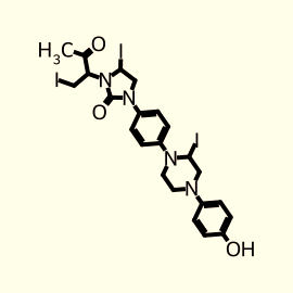 CC(=O)C(CI)N1C(=O)N(c2ccc(N3CCN(c4ccc(O)cc4)CC3I)cc2)CC1I